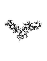 CC(=O)OC1OC(COS(=O)(=O)c2ccc([N+](=O)[O-])cc2)C(OC2OC3COC(c4ccccc4)OC3C(C)C2C)C(C)C1C